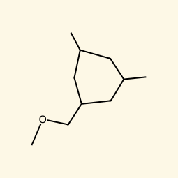 COCC1CC(C)CC(C)C1